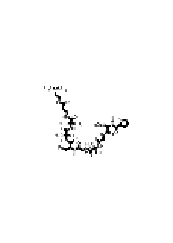 CCCCCCCCC(NC(=O)C1CCCN1C)C(=O)NCC(=O)NC(C)(C)C(=O)NCC(=O)NC(CC(C)C)C(=O)NC(C)(C)C(=O)NC(C)(C)C(=O)NCCC(=O)NCCN(C)C